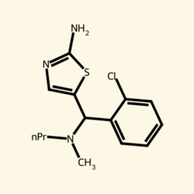 CCCN(C)C(c1cnc(N)s1)c1ccccc1Cl